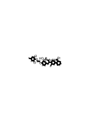 CCC(NC(C)=O)c1ccccc1-c1ccc(C(CNC(=O)O)Cc2ccc(OCCOc3c(Cl)cc(C)cc3Cl)cc2)c(C)c1